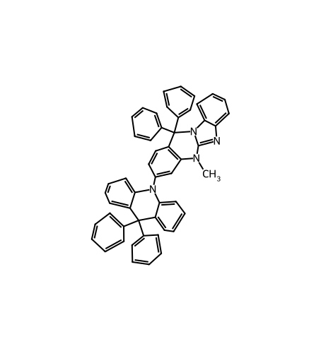 CN1c2cc(N3c4ccccc4C(c4ccccc4)(c4ccccc4)c4ccccc43)ccc2C(c2ccccc2)(c2ccccc2)n2c1nc1ccccc12